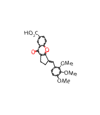 COc1ccc(C=C2CCc3c2oc2ccc(C(=O)O)cc2c3=O)c(OC)c1OC